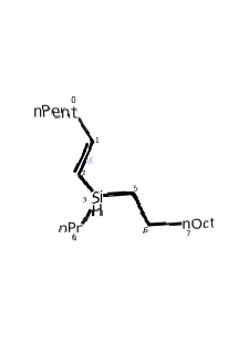 CCCCC/C=C/[SiH](CCC)CCCCCCCCCC